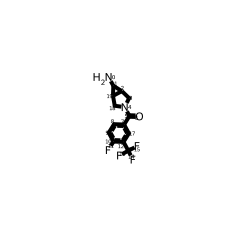 NC1C2CN(C(=O)c3ccc(F)c(C(F)(F)F)c3)CC12